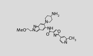 COCCn1cc2cc(NC(=O)c3coc(-c4ccnc(C)c4)n3)c(N3CCC(N)CC3)cc2n1